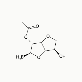 B[C@@H]1OC2C(OC[C@H]2O)[C@H]1OC(C)=O